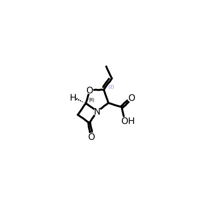 C/C=C1\O[C@@H]2CC(=O)N2C1C(=O)O